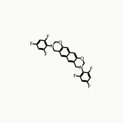 Fc1cc(F)c(N2COc3cc4cc5c(cc4cc3C2)CN(c2c(F)cc(F)cc2F)CO5)c(F)c1